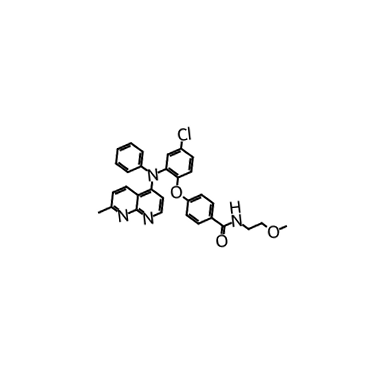 COCCNC(=O)c1ccc(Oc2ccc(Cl)cc2N(c2ccccc2)c2ccnc3nc(C)ccc23)cc1